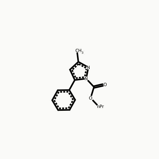 CCCOC(=O)n1nc(C)cc1-c1ccccc1